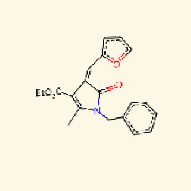 CCOC(=O)C1=C(C)N(Cc2ccccc2)C(=O)C1=Cc1ccco1